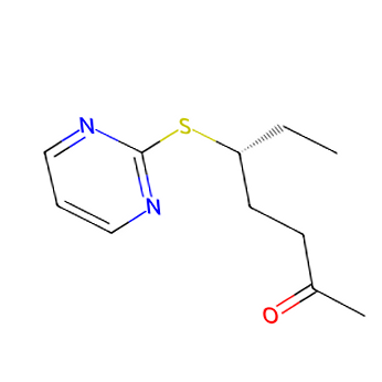 CC[C@H](CCC(C)=O)Sc1ncccn1